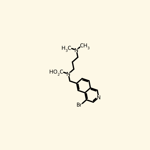 CN(C)CCCN(Cc1ccc2cncc(Br)c2c1)C(=O)O